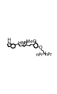 CCCN(CCC)CCOc1ccc(/C=C/c2cc(/C=C/c3ccc4cc[nH]c4c3)[nH]n2)c(OC)c1